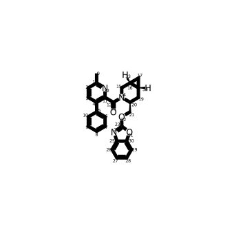 Cc1ccc(-c2ccccc2)c(C(=O)N2C[C@@H]3C[C@@H]3C[C@H]2COc2nc3ccccc3o2)n1